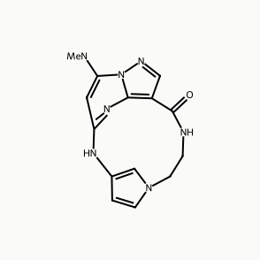 CNc1cc2nc3c(cnn13)C(=O)NCCn1ccc(c1)N2